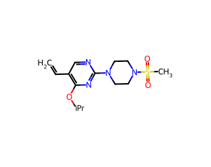 C=Cc1cnc(N2CCN(S(C)(=O)=O)CC2)nc1OC(C)C